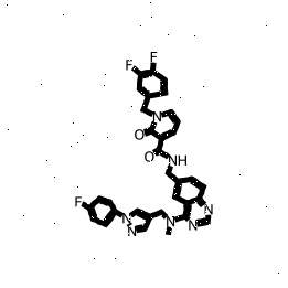 CN(Cc1cnn(-c2ccc(F)cc2)c1)c1ncnc2ccc(CNC(=O)c3cccn(Cc4ccc(F)c(F)c4)c3=O)cc12